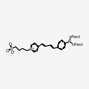 CCCCCN(CCCCC)c1ccc(C=CC=Cc2cc[n+](CCCCS(=O)(=O)[O-])cc2)cc1